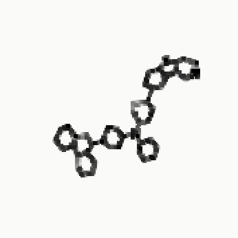 c1ccc(N(c2ccc(-c3ccc4sc5ccncc5c4c3)cc2)c2ccc(-c3cc4ccccc4c4ccccc34)cc2)cc1